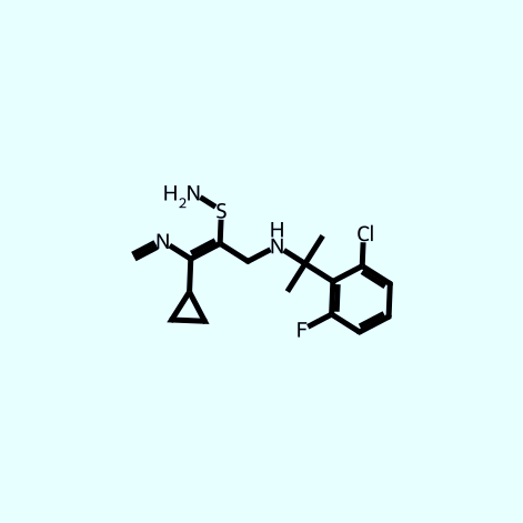 C=N/C(=C(/CNC(C)(C)c1c(F)cccc1Cl)SN)C1CC1